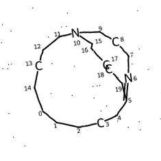 C1CCCCC2=NCCCN(CCCC1)CCCCC2